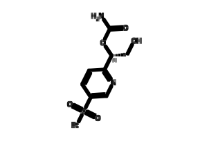 CCS(=O)(=O)c1ccc([C@@H](CO)OC(N)=O)nc1